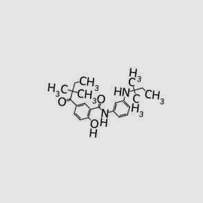 CCC(C)(C)Nc1cccc(NC(=O)c2cc(C(=O)C(C)(C)CC)ccc2O)c1